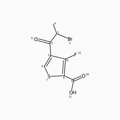 CC(Br)C(=O)c1csc(C(=O)O)c1F